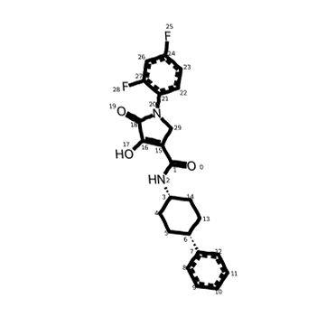 O=C(N[C@H]1CC[C@@H](c2ccccc2)CC1)C1=C(O)C(=O)N(c2ccc(F)cc2F)C1